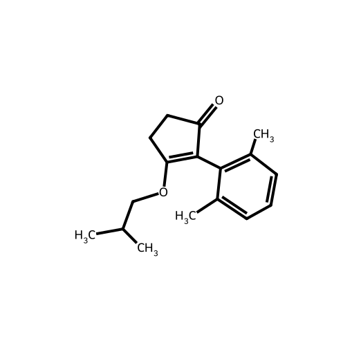 Cc1cccc(C)c1C1=C(OCC(C)C)CCC1=O